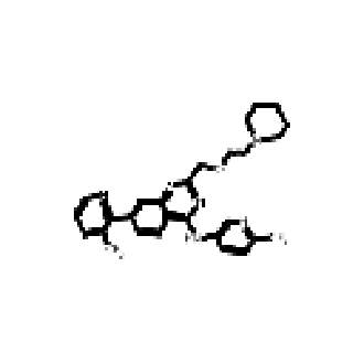 FC(F)(F)c1ccc(Nc2nc(COCCN3CCCCC3)nc3cc(-c4ncccc4C(F)(F)F)ccc23)cn1